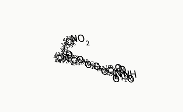 O=C1CCC(N2C(=O)c3ccc(OCCOCCOCCOc4ccc(CN5C(=O)C(=C/C=C/c6ccc([N+](=O)[O-])cc6)c6ccccc65)cc4)cc3C2=O)C(=O)N1